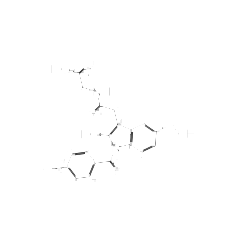 COc1ccc2c(c1)c(CC(=O)NCC(=O)O)c(C)n2C(=O)c1ccc(Cl)cc1